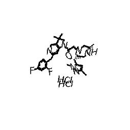 Cc1cc(C[C@H]2CN[C@H](C)CN2CC(=O)N2CC(C)(C)c3cnc(Cc4ccc(F)cc4F)cc32)n(C)n1.Cl.Cl